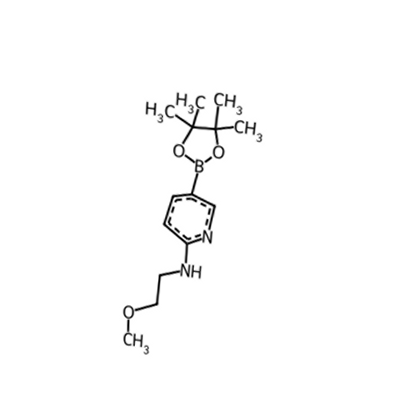 COCCNc1ccc(B2OC(C)(C)C(C)(C)O2)cn1